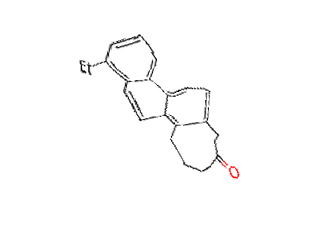 CCc1cccc2c1ccc1c3c(ccc12)CC(=O)CC3